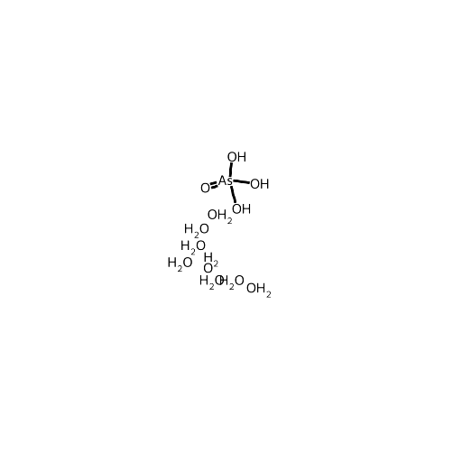 O.O.O.O.O.O.O.O.O=[As](O)(O)O